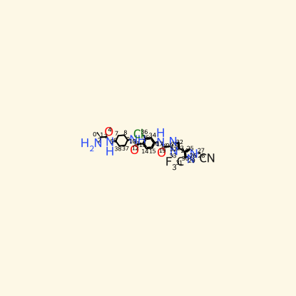 C[C@H](N)C(=O)NC1CCC(NC(=O)c2ccc(NC(=O)c3ncc(-c4cn(CC#N)nc4C(F)(F)F)n3C)cc2Cl)CC1